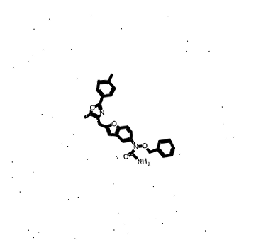 Cc1ccc(-c2nc(Cc3cc4cc(N(OCc5ccccc5)C(N)=O)ccc4o3)c(C)o2)cc1